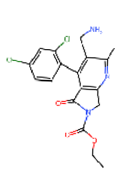 CCOC(=O)N1Cc2nc(C)c(CN)c(-c3ccc(Cl)cc3Cl)c2C1=O